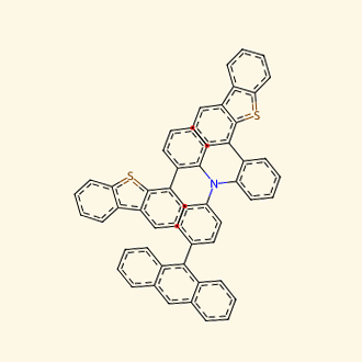 c1ccc(N(c2ccc(-c3c4ccccc4cc4ccccc34)cc2)c2ccccc2-c2cccc3c2sc2ccccc23)c(-c2cccc3c2sc2ccccc23)c1